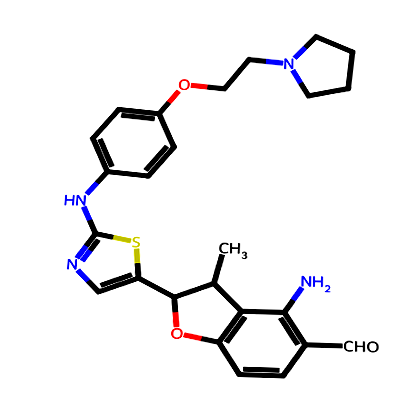 CC1c2c(ccc(C=O)c2N)OC1c1cnc(Nc2ccc(OCCN3CCCC3)cc2)s1